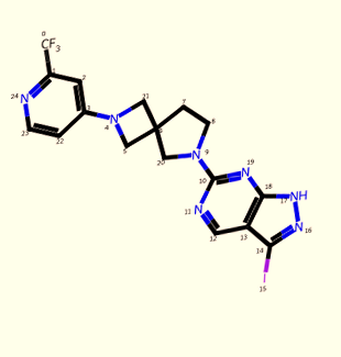 FC(F)(F)c1cc(N2CC3(CCN(c4ncc5c(I)n[nH]c5n4)C3)C2)ccn1